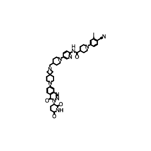 N#Cc1ccc(N2CCC(C(=O)Nc3ccc(N4CCC(CN5CC6(CCN(c7ccc8c(=O)n(C9CCC(=O)NC9=O)nnc8c7)CC6)C5)CC4)cn3)CC2)cc1I